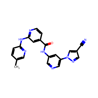 Cc1ccc(Nc2cc(C(=O)Nc3cncc(-n4cc(C#N)cn4)c3)ccn2)nc1